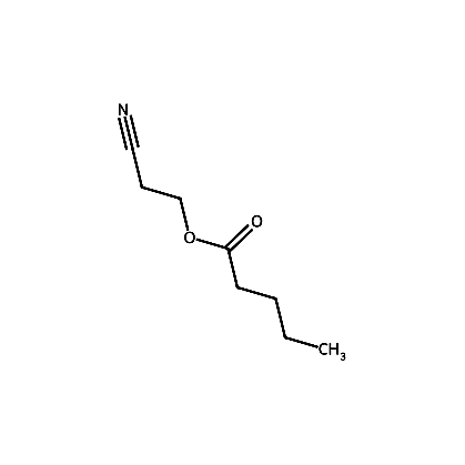 CCCCC(=O)OCCC#N